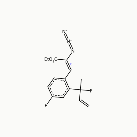 C=CC(C)(F)c1cc(F)ccc1/C=C(/N=[N+]=[N-])C(=O)OCC